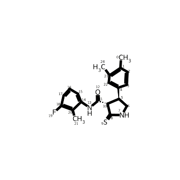 Cc1ccc([C@H]2CNC(=S)[C@@H]2C(=O)Nc2cccc(F)c2C)cc1C